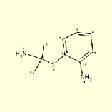 CC(C)(N)Sc1ccccc1N